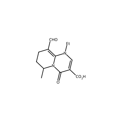 CCN1C=C(C(=O)O)C(=O)N2C1=C(C=O)CCC2C